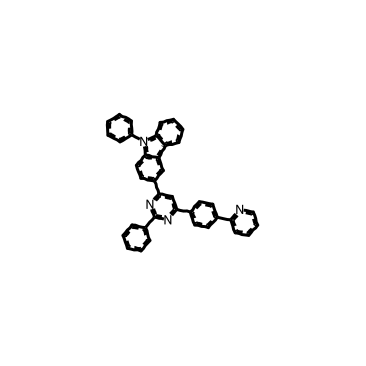 c1ccc(-c2nc(-c3ccc(-c4ccccn4)cc3)cc(-c3ccc4c(c3)c3ccccc3n4-c3ccccc3)n2)cc1